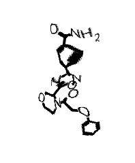 NC(=O)c1ccc(-c2noc(C3COCCN3C(=O)COc3ccccc3)n2)cc1